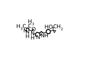 C=C(O)C1(c2ccc(-c3cc4cc(NC(=O)c5[nH]nc(C)c5C)cnc4[nH]3)cc2)CC1